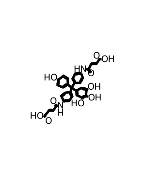 O=C(O)/C=C/C(=O)Nc1ccc(C(c2ccc(O)cc2)(c2ccc(NC(=O)/C=C/C(=O)O)cc2)c2cc(O)c(O)c(O)c2)cc1